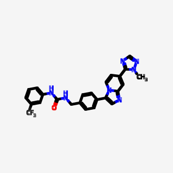 Cn1ncnc1-c1ccn2c(-c3ccc(CNC(=O)Nc4cccc(C(F)(F)F)c4)cc3)cnc2c1